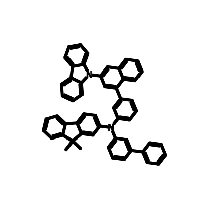 CC1(C)c2ccccc2-c2ccc(N(c3cccc(-c4ccccc4)c3)c3cccc(-c4cc(-n5c6ccccc6c6ccccc65)cc5ccccc45)c3)cc21